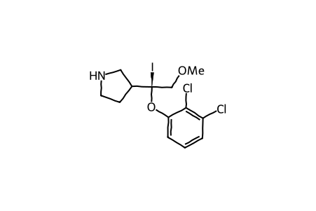 COC[C@](I)(Oc1cccc(Cl)c1Cl)C1CCNC1